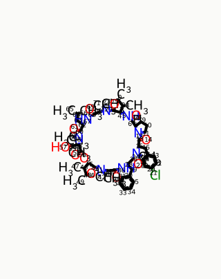 CCC(C)C1NC(=O)[C@@H]2CCCN2C(=O)C(Cc2ccc(Cl)cc2)N(C)C(=O)C(Cc2ccccc2)NC(=O)[C@H](C)N(C)C(=O)C([C@H](C)CC)OC(=O)C(C(C)(C)O)N(C)C(=O)C(CC(C)C)NC(=O)[C@H](C)N(C)C1=O